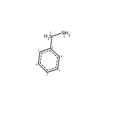 [SiH2][SiH2]c1[c]cccc1